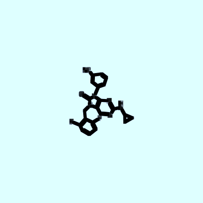 N#Cc1cccc(-n2c(=O)n(Cc3c(F)cccc3F)c3cnc(NC4CC4)nc32)c1